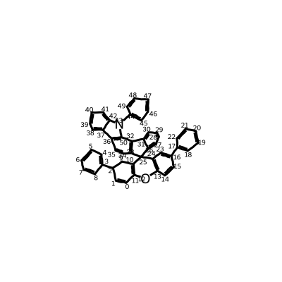 C1=CC(c2ccccc2)CC2=C1Oc1ccc(-c3ccccc3)cc1C21c2ccccc2-c2c1ccc1c3ccccc3n(-c3ccccc3)c21